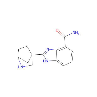 NC(=O)c1cccc2[nH]c(C34CCC(C3)NC4)nc12